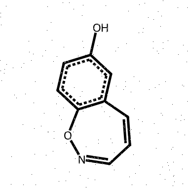 Oc1ccc2c(c1)C=CC=NO2